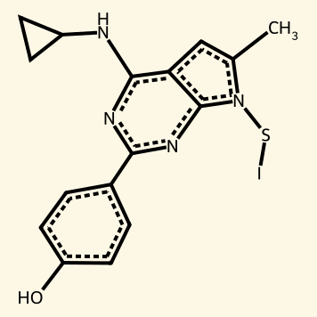 Cc1cc2c(NC3CC3)nc(-c3ccc(O)cc3)nc2n1SI